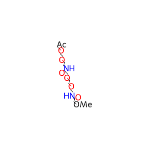 COCC(=O)NCCOCCOCC(=O)NCCOCCOCC(C)=O